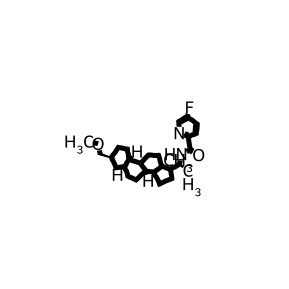 COC[C@H]1CC[C@@H]2C3CC[C@@]4(C)C(CCC4[C@H](C)NC(=O)c4ccc(F)cn4)[C@@H]3CC[C@@H]2C1